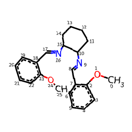 COc1ccccc1C=NC1CCCCC1N=Cc1ccccc1OC